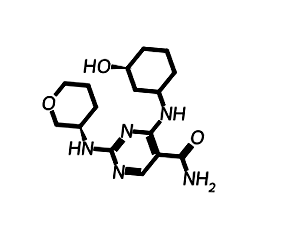 NC(=O)c1cnc(N[C@@H]2CCCOC2)nc1NC1CCC[C@H](O)C1